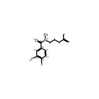 C=C(C)CCCN(CC)C(=O)c1ccc(C)c(F)c1